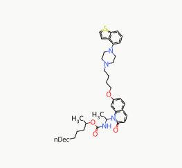 CCCCCCCCCCCCCC(C)OC(=O)NC(C)n1c(=O)ccc2ccc(OCCCCN3CCN(c4cccc5sccc45)CC3)cc21